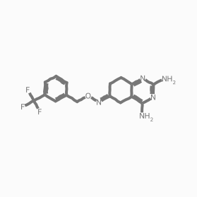 Nc1nc(N)c2c(n1)CCC(=NOCc1cccc(C(F)(F)F)c1)C2